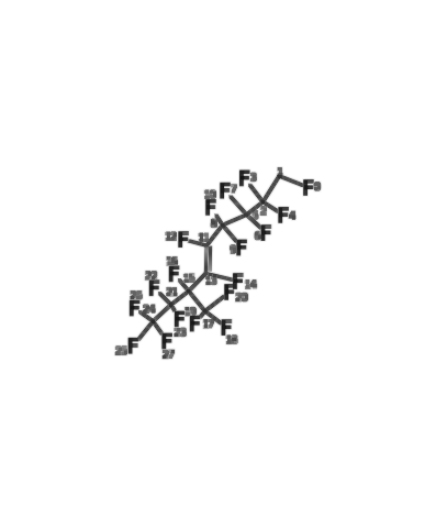 FCC(F)(F)C(F)(F)C(F)(F)C(F)=C(F)C(F)(C(F)(F)F)C(F)(F)C(F)(F)F